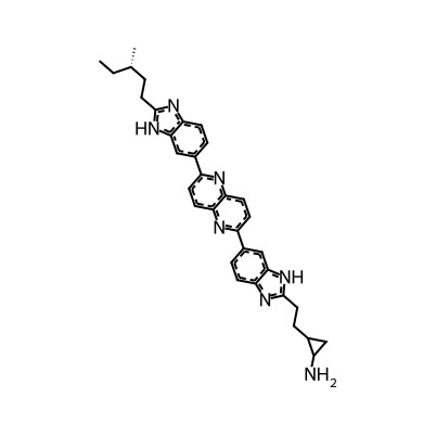 CC[C@H](C)CCc1nc2ccc(-c3ccc4nc(-c5ccc6nc(CCC7CC7N)[nH]c6c5)ccc4n3)cc2[nH]1